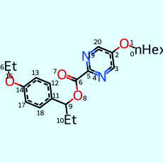 CCCCCCOc1cnc(C(=O)OC(CC)c2ccc(OCC)cc2)nc1